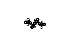 O=c1c2ccccc2sc2cc(-n3c4ccccc4sc4cc5c(cc43)sc3ccccc3n5-c3ccc4c(=O)c5ccccc5sc4c3)ccc12